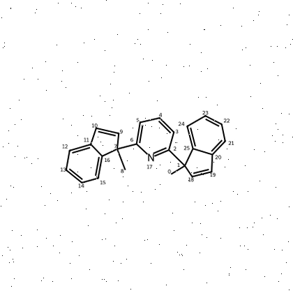 CC1(c2cccc(C3(C)C=Cc4ccccc43)n2)C=Cc2ccccc21